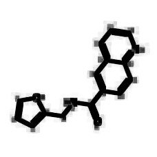 O=C(NCc1ccco1)c1ccc2ncccc2c1